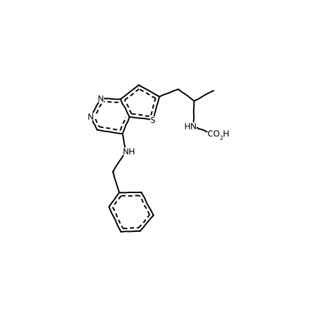 CC(Cc1cc2nncc(NCc3ccccc3)c2s1)NC(=O)O